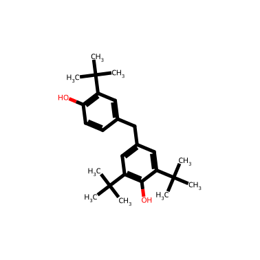 CC(C)(C)c1cc(Cc2cc(C(C)(C)C)c(O)c(C(C)(C)C)c2)ccc1O